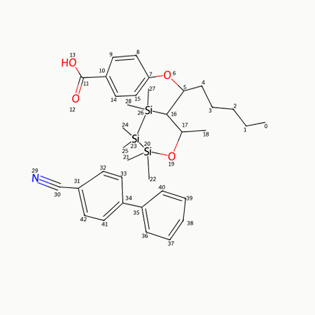 CCCCCC(Oc1ccc(C(=O)O)cc1)C1C(C)O[Si](C)(C)[Si](C)(C)[Si]1(C)C.N#Cc1ccc(-c2ccccc2)cc1